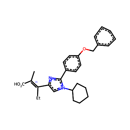 CC/C(=C(/C)C(=O)O)c1cn(C2CCCCC2)c(-c2ccc(OCc3ccccc3)cc2)n1